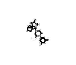 C[C@H]1CN(C(=O)C23CCC(C2)CC32NC(=O)NC2=O)CCN1c1cc(F)cc(F)c1